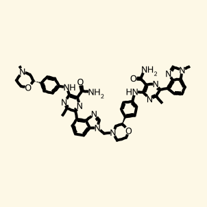 Cc1nc(Nc2ccc([C@@H]3CN(Cn4cnc5c(-c6nc(C(N)=O)c(Nc7ccc([C@H]8CN(C)CCO8)cc7)nc6C)cccc54)CCO3)cc2)c(C(N)=O)nc1-c1cccc2c1ncn2C